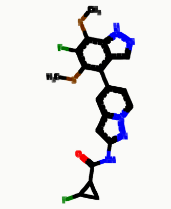 CSc1c(F)c(SC)c2[nH]ncc2c1-c1ccn2nc(NC(=O)C3CC3F)cc2c1